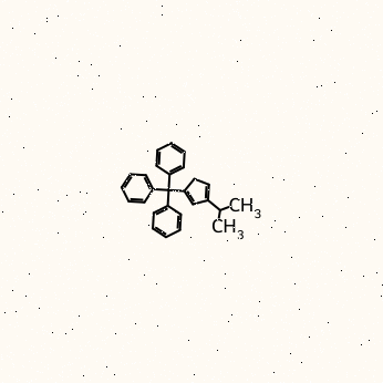 CC(C)C1=CCC(C(c2ccccc2)(c2ccccc2)c2ccccc2)=C1